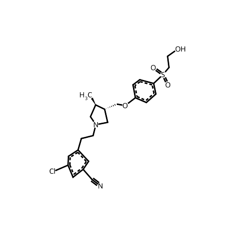 C[C@@H]1CN(CCc2cc(Cl)cc(C#N)c2)C[C@H]1COc1ccc(S(=O)(=O)CCO)cc1